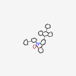 O=c1c2ccccc2c2ccc(-c3c4ccccc4c(-c4ccccc4)c4ccccc34)cc2n1-c1cccc(-c2ccccc2)c1